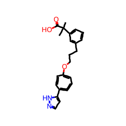 CC(C)(C(=O)O)c1cccc(CCCOC2=CC=C=C(c3ccn[nH]3)C=C2)c1